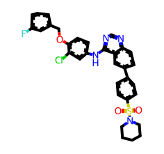 O=S(=O)(c1ccc(-c2ccc3ncnc(Nc4ccc(OCc5cccc(F)c5)c(Cl)c4)c3c2)cc1)N1CCCCC1